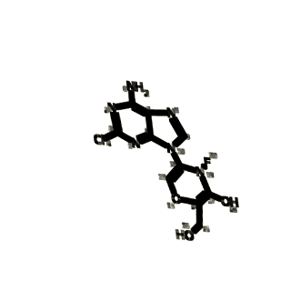 Nc1nc(Cl)nc2c1ncn2C1=COC(CO)=C(O)N1F